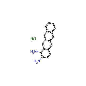 Cl.Nc1ccc2cc3cc4ccccc4cc3cc2c1N